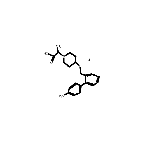 Cc1ccc(-c2ccccc2COC2CCN(C(C)C(=O)O)CC2)cc1.Cl